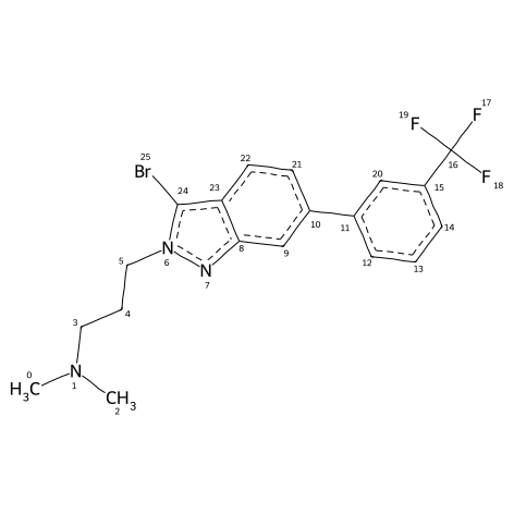 CN(C)CCCn1nc2cc(-c3cccc(C(F)(F)F)c3)ccc2c1Br